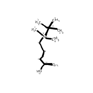 CC(C)(C)[N+](C)(C)CCCC(=O)O